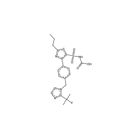 CCCc1nc(-c2ccc(Cn3ccnc3C(C)(C)F)cc2)c(S(=O)(=O)NC(=O)O)s1